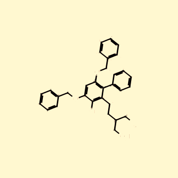 CCc1c(OCc2ccccc2)cc(OCc2ccccc2)c(-c2ccccc2)c1CCC(CO)CO